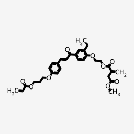 C=CC(=O)OCCCOc1ccc(/C=C/C(=O)c2ccc(OCCOC(=O)C(=C)CC(=O)OC)c(CC)c2)cc1